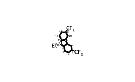 CCn1c2ccc(C(F)(F)F)cc2c2cc(C(F)(F)F)ccc21